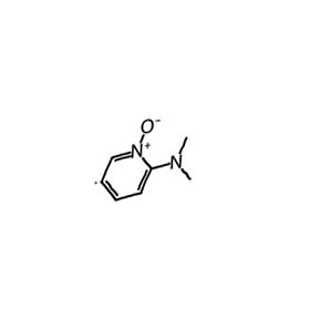 CN(C)c1cc[c]c[n+]1[O-]